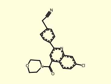 N#CCc1ccc(-c2cc(C(=O)N3CCOCC3)c3ccc(Cl)cc3n2)cc1